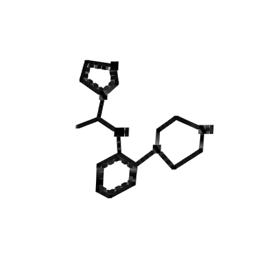 CC(Nc1ccccc1N1CCNCC1)n1ccnc1